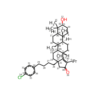 CC(C)C1=C2[C@H]3CC[C@@H]4[C@@]5(C)CC[C@H](O)C(C)(C)[C@@H]5CC[C@@]4(C)[C@]3(C)CC[C@@]2(CCCCc2ccc(Cl)cc2)CC1=O